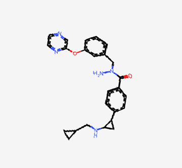 NN(Cc1cccc(Oc2cnccn2)c1)C(=O)c1ccc(C2CC2NCC2CC2)cc1